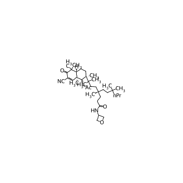 CCCC(C)(C)CC[C@](C)(CCC(=O)NC1COC1)CCC(C)(C)[C@]1(C)CC[C@H]2C(C)(C)C(=O)C(C#N)=C[C@]2(C)/C1=C/C(C)=O